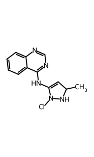 CC1C=C(Nc2ncnc3ccccc23)N(Cl)N1